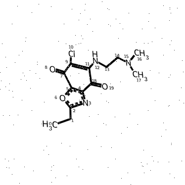 CCc1nc2c(o1)C(=O)C(Cl)=C(NCCN(C)C)C2=O